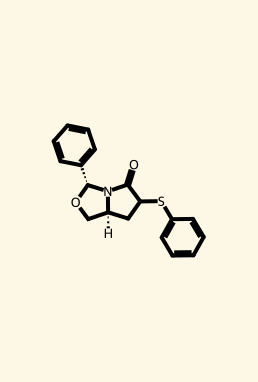 O=C1C(Sc2ccccc2)C[C@H]2CO[C@H](c3ccccc3)N12